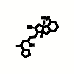 CC(C[C@@H](O)/C=C/[C@@H]1[C@H]2CC3CCCC(C(=O)O)N3[C@@H]2C[C@H]1O)C1CCCC1